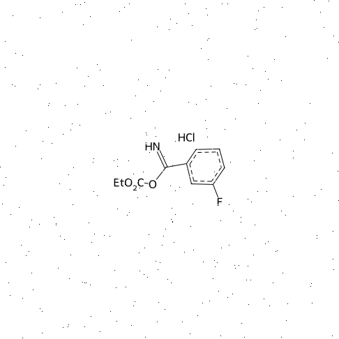 CCOC(=O)OC(=N)c1cccc(F)c1.Cl